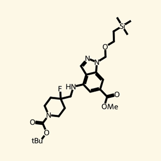 COC(=O)c1cc(NCC2(F)CCN(C(=O)OC(C)(C)C)CC2)c2cnn(COCC[Si](C)(C)C)c2c1